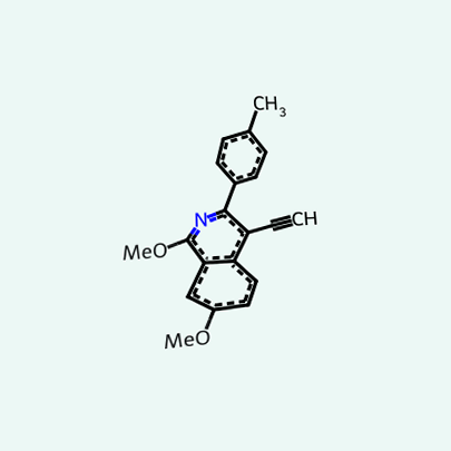 C#Cc1c(-c2ccc(C)cc2)nc(OC)c2cc(OC)ccc12